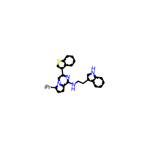 CC(C)c1ccc2c(NCCc3c[nH]c4ccccc34)nc(-c3csc4ccccc34)cn12